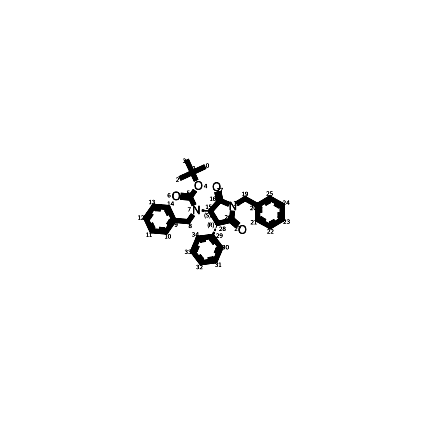 CC(C)(C)OC(=O)N(Cc1ccccc1)[C@@H]1C(=O)N(Cc2ccccc2)C(=O)[C@@H]1c1ccccc1